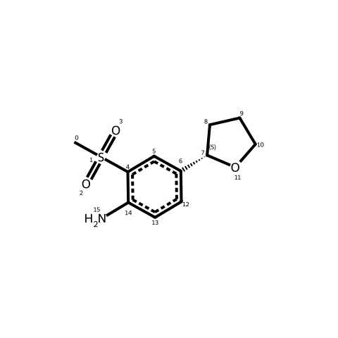 CS(=O)(=O)c1cc([C@@H]2CCCO2)ccc1N